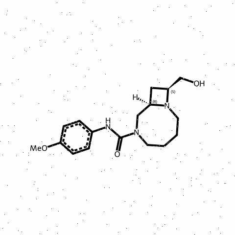 COc1ccc(NC(=O)N2CCCCN3[C@H](CO)C[C@@H]3C2)cc1